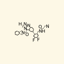 CN(C)CCC(=O)NCc1cc(F)c(F)cc1-c1ccc2nc(N)nc(C(=O)N3Cc4ccccc4C3)c2c1